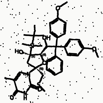 COc1ccc(C(c2ccccc2)(c2ccc(OC)cc2)C(O)[C@H]2O[C@@](CSC)(n3cc(C)c(=O)[nH]c3=O)C[C@@]2(O)[Si](C)(C)C(C)(C)C)cc1